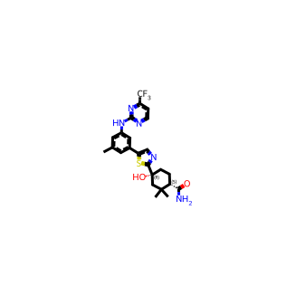 Cc1cc(Nc2nccc(C(F)(F)F)n2)cc(-c2cnc([C@@]3(O)CC[C@H](C(N)=O)C(C)(C)C3)s2)c1